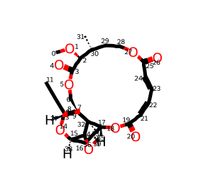 CO[C@@H]1C(=O)OC[C@]23CCC(C)=C[C@H]2O[C@@H]2C[C@@H](OC(=O)/C=C\C=C\C(=O)OCC[C@H]1C)[C@@]3(C)[C@]21CO1